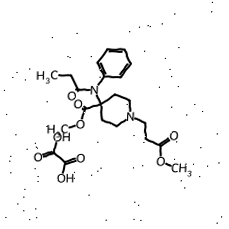 CCC(=O)N(c1ccccc1)C1(C(=O)OC)CCN(CCC(=O)OC)CC1.O=C(O)C(=O)O